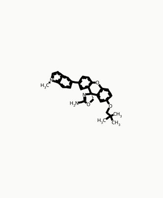 Cn1ccc2cc(-c3ccc4c(c3)[C@@]3(COC(N)=N3)c3cc(OCC(C)(C)C)ccc3O4)ccc21